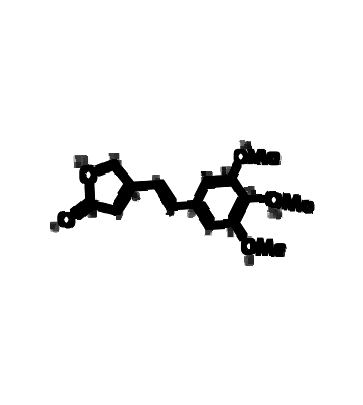 COc1cc(C=CC2=CC(=O)OC2)cc(OC)c1OC